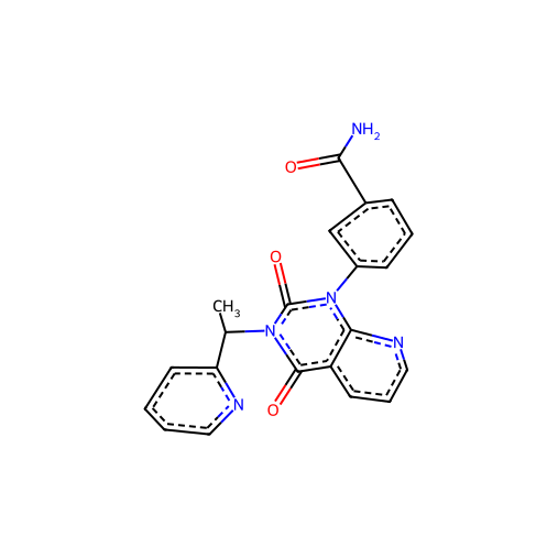 CC(c1ccccn1)n1c(=O)c2cccnc2n(-c2cccc(C(N)=O)c2)c1=O